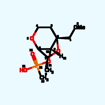 COC[C@@]12CCOC([C@H](C)O1)[C@@H]2OP(C)(=O)O